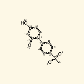 CS(=O)(=O)c1ccc(-n2ccc(O)cc2=O)cc1